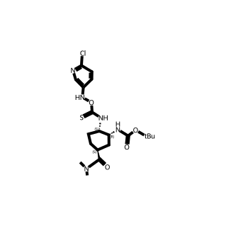 CN(C)C(=O)[C@H]1CC[C@H](NC(=S)ONc2ccc(Cl)nc2)[C@H](NC(=O)OC(C)(C)C)C1